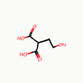 O=C(O)C(CCO)C(=O)O